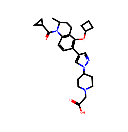 CC1CCc2c(ccc(-c3cnn(C4CCN(CC(=O)O)CC4)c3)c2OC2CCC2)N1C(=O)C1CC1